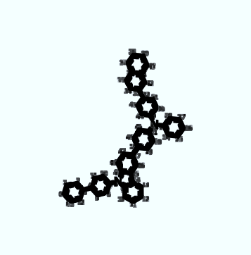 c1ccc(-c2ccc(-n3c4ccccc4c4cc(-c5ccc(N(c6ccccc6)c6ccc(-c7ccc8ccccc8c7)cc6)cc5)ccc43)cc2)cc1